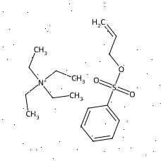 C=CCOS(=O)(=O)c1ccccc1.CC[N+](CC)(CC)CC